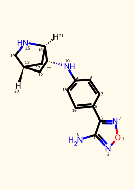 Nc1nonc1-c1ccc(N[C@@H]2C[C@@H]3CN[C@@H]2C3)cc1